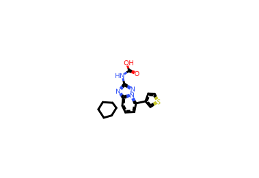 C1CCCCC1.O=C(O)Nc1nc2cccc(-c3ccsc3)n2n1